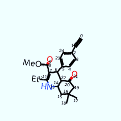 C#Cc1ccc(C2C(C(=O)OC)=C(CC)NC3CC(C)(C)CC(=O)C32)cc1